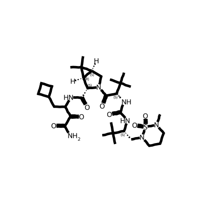 CN1CCCN(C[C@@H](NC(=O)N[C@H](C(=O)N2C[C@H]3[C@@H]([C@H]2C(=O)NC(CC2CCC2)C(=O)C(N)=O)C3(C)C)C(C)(C)C)C(C)(C)C)S1(=O)=O